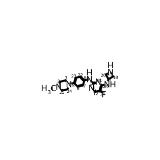 CN1CCN(c2ccc(Nc3ncc(F)c(NC4CNC4)n3)cc2)CC1